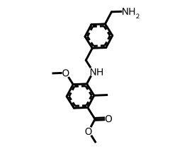 COC(=O)c1ccc(OC)c(NCc2ccc(CN)cc2)c1C